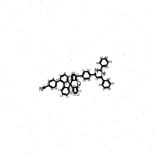 N#Cc1ccc(-c2cccc3c2-c2ccccc2C32c3ccccc3Oc3c(-c4ccc(-c5cc(-c6ccccc6)nc(-c6ccccc6)n5)cc4)cccc32)cc1